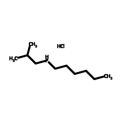 CCCCCCPCC(C)C.Cl